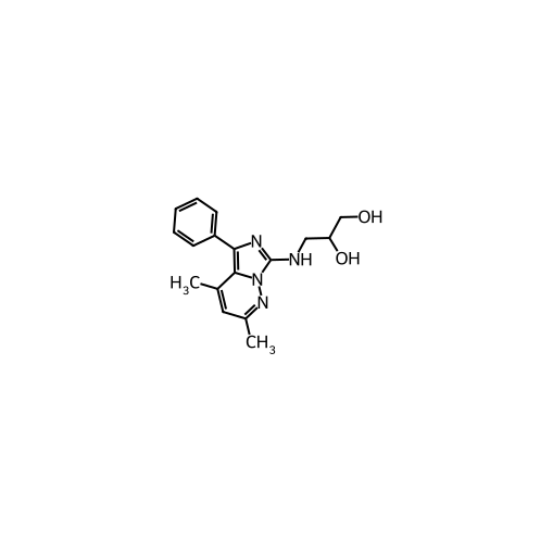 Cc1cc(C)c2c(-c3ccccc3)nc(NCC(O)CO)n2n1